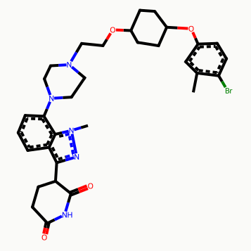 Cc1cc(OC2CCC(OCCN3CCN(c4cccc5c(C6CCC(=O)NC6=O)nn(C)c45)CC3)CC2)ccc1Br